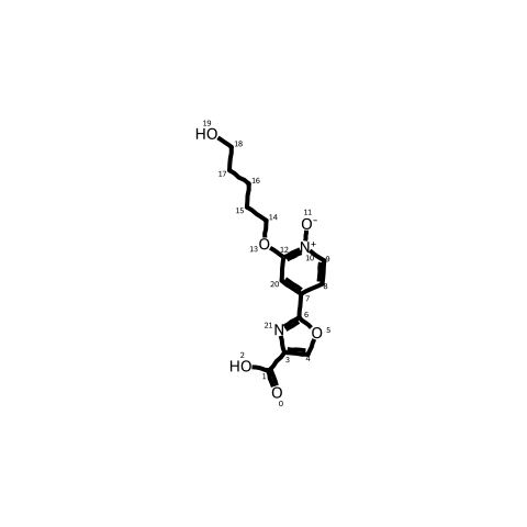 O=C(O)c1coc(-c2cc[n+]([O-])c(OCCCCCO)c2)n1